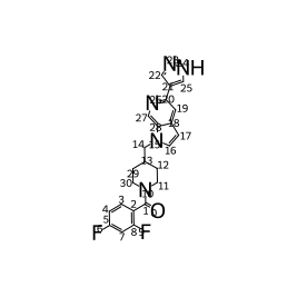 O=C(c1ccc(F)cc1F)N1CCC(Cn2ccc3cc(-c4cn[nH]c4)ncc32)CC1